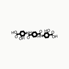 O=C(Nc1ccc(C(=O)O)c(O)c1)c1ccc(C(=O)Nc2ccc(C(=O)O)c(O)c2)cc1